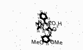 COc1ccc(CN2C(=O)[C@@H](N(Cc3ccccc3)C(=O)O)[C@H]2Cn2nnnc2C)c(OC)c1